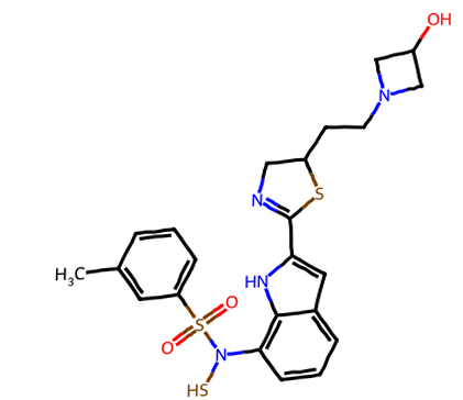 Cc1cccc(S(=O)(=O)N(S)c2cccc3cc(C4=NCC(CCN5CC(O)C5)S4)[nH]c23)c1